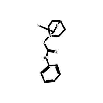 O=C(Nc1ccccc1)O[N+]12CCC(CC1)CC2F